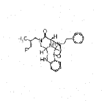 CC(CF)CN1C[C@H]2C3Nc4ccccc4[C@]34OC3C[C@@H](C1=O)N2C34NCCc1ccccc1